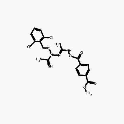 COC(=O)c1ccc(C(=O)ONC(N)=NN(OCc2c(Cl)cccc2Cl)C(=N)N)cc1